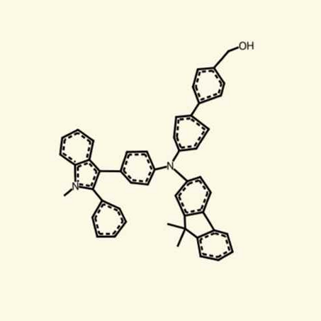 Cn1c(-c2ccccc2)c(-c2ccc(N(c3ccc(-c4ccc(CO)cc4)cc3)c3ccc4c(c3)C(C)(C)c3ccccc3-4)cc2)c2ccccc21